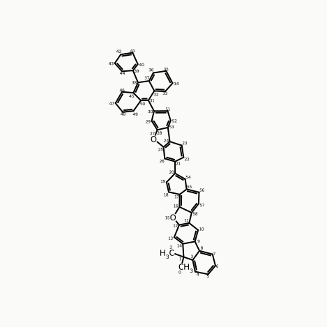 CC1(C)c2ccccc2-c2cc3c(cc21)oc1c2ccc(-c4ccc5c(c4)oc4cc(-c6c7ccccc7c(-c7ccccc7)c7ccccc67)ccc45)cc2ccc31